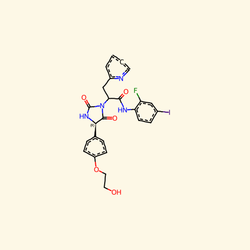 O=C(Nc1ccc(I)cc1F)C(Cc1ccccn1)N1C(=O)N[C@H](c2ccc(OCCO)cc2)C1=O